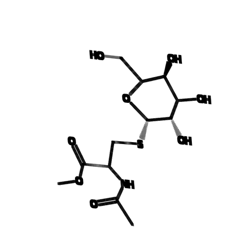 COC(=O)C(CS[C@@H]1OC(CO)[C@@H](O)C(O)[C@@H]1O)NC(C)=O